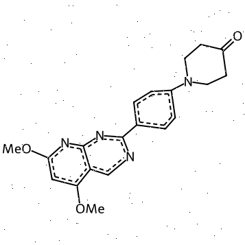 COc1cc(OC)c2cnc(-c3ccc(N4CCC(=O)CC4)cc3)nc2n1